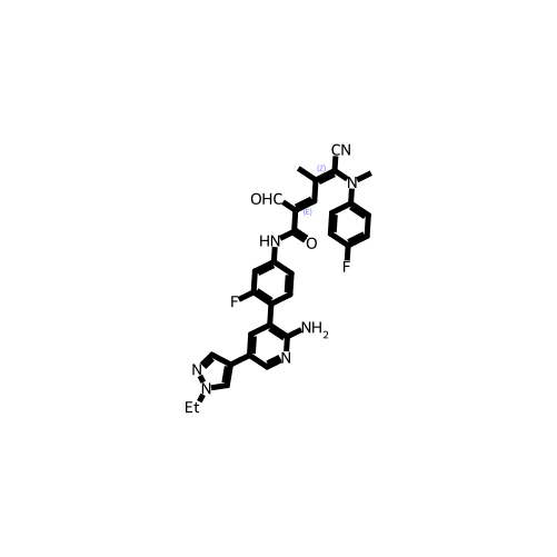 CCn1cc(-c2cnc(N)c(-c3ccc(NC(=O)/C(C=O)=C/C(C)=C(/C#N)N(C)c4ccc(F)cc4)cc3F)c2)cn1